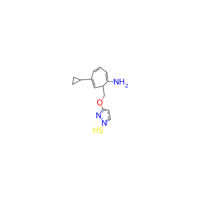 NC1=CC=CC(C2CC2)=CC1COc1ccn(S)n1